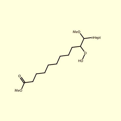 CCCCCCCC(OC)C(CCCCCCCCC(=O)OC)OO